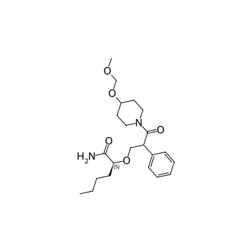 CCCC[C@H](OCC(C(=O)N1CCC(OCOC)CC1)c1ccccc1)C(N)=O